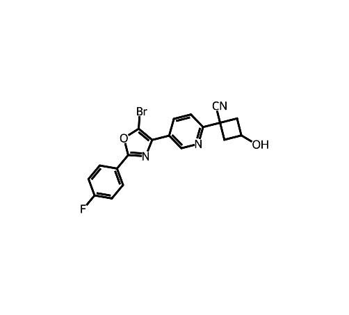 N#CC1(c2ccc(-c3nc(-c4ccc(F)cc4)oc3Br)cn2)CC(O)C1